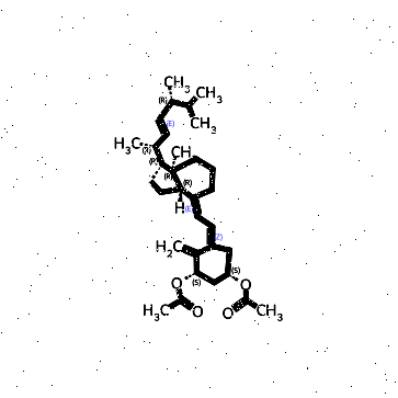 C=C1/C(=C\C=C2/CCC[C@]3(C)[C@@H]([C@H](C)/C=C/[C@H](C)C(C)C)CC[C@@H]23)C[C@H](OC(C)=O)C[C@@H]1OC(C)=O